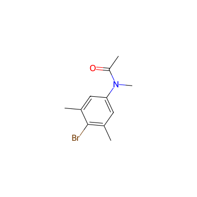 CC(=O)N(C)c1cc(C)c(Br)c(C)c1